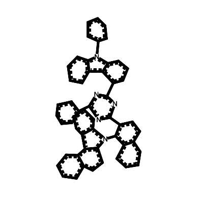 c1ccc(-c2nc(-c3ccc4ccccc4c3-n3c4ccccc4c4c5ccccc5ccc43)nc(-c3cccc4c3c3ccccc3n4-c3ccccc3)n2)cc1